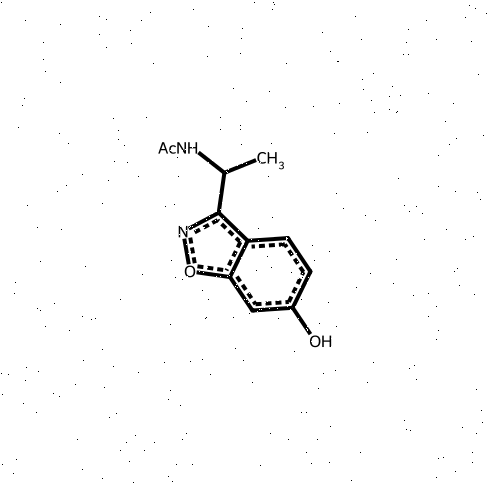 CC(=O)NC(C)c1noc2cc(O)ccc12